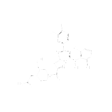 CO[C@H]1CN(C(=O)c2cc3nc(-c4ccc(F)c(Cl)c4)cc(N(C)c4c(C)cccc4C)n3n2)CC[C@H]1CC(=O)O